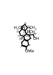 COC1=CCC2=C(C1)C[C@](C)(CO)[C@H]1[C@H]3[C@H](C)CC[C@@]3(C)CC[C@H]21